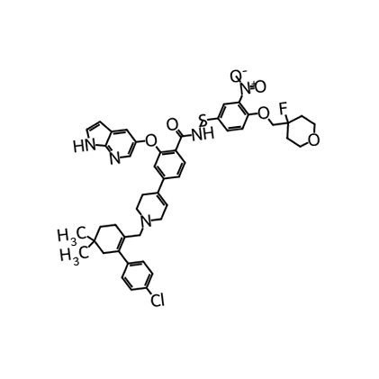 CC1(C)CCC(CN2CC=C(c3ccc(C(=O)NSc4ccc(OCC5(F)CCOCC5)c([N+](=O)[O-])c4)c(Oc4cnc5[nH]ccc5c4)c3)CC2)=C(c2ccc(Cl)cc2)C1